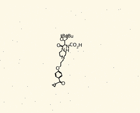 CC(C)(C)C[C@H](OC(C)(C)C)[C@@H](NC(=O)O)C(=O)N1CCN(CCCOc2ccc(C(=O)C3CC3)cc2)CC1